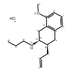 C=CC[C@@H]1Cc2cccc(OC)c2C[C@@H]1NCCC.Cl